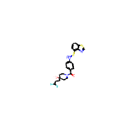 O=C(c1ccc(NSc2cccc3scnc23)cc1)N1CCC(O)(CCC(F)F)CC1